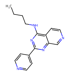 CCCCNc1nc(-c2ccncc2)nc2cnccc12